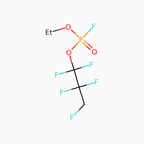 CCOP(=O)(F)OC(F)(F)C(F)(F)CF